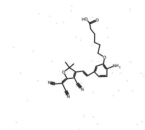 CC1(C)OC(=C(C#N)C#N)C(C#N)=C1/C=C/c1ccc(N)c(OCCCCCC(=O)O)c1